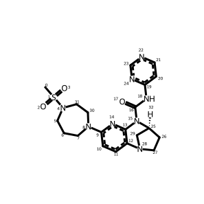 CS(=O)(=O)N1CCCN(c2ccc3c(n2)N(C(=O)Nc2ccncn2)[C@H]2CCN3C2)CC1